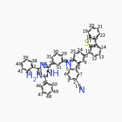 N#Cc1ccc2c(c1)c1cc(-c3cccc4c3sc3ccccc34)ccc1n2-c1cccc(/C(=N/C(N)c2ccccc2)NCc2ccccc2)c1